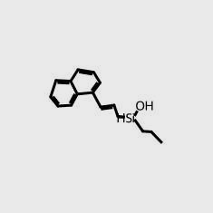 CCC[SiH](O)CC=Cc1cccc2ccccc12